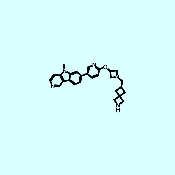 Cn1c2ccncc2c2ccc(-c3ccc(OC4CN(CC5CC6(CNC6)C5)C4)nc3)cc21